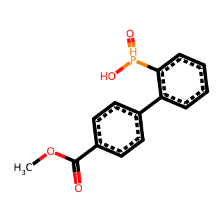 COC(=O)c1ccc(-c2ccccc2[PH](=O)O)cc1